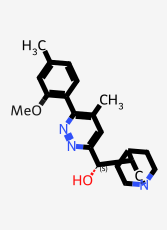 COc1cc(C)ccc1-c1nnc([C@@H](O)C2CN3CCC2CC3)cc1C